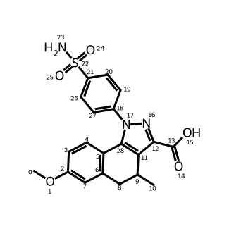 COc1ccc2c(c1)CC(C)c1c(C(=O)O)nn(-c3ccc(S(N)(=O)=O)cc3)c1-2